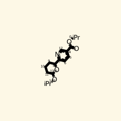 CC(C)OC(=O)c1ccc(C2CCCC(OC(C)C)O2)nc1